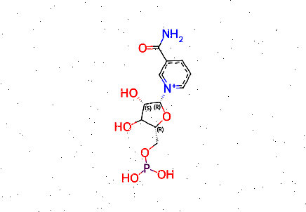 NC(=O)c1ccc[n+]([C@@H]2O[C@H](COP(O)O)C(O)[C@@H]2O)c1